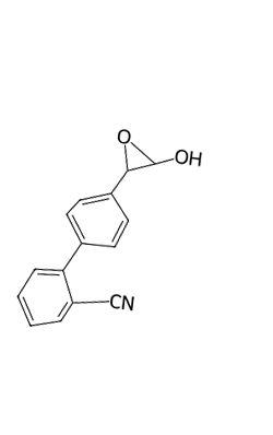 N#Cc1ccccc1-c1ccc(C2OC2O)cc1